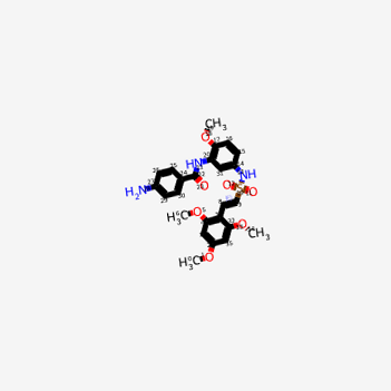 COc1cc(OC)c(/C=C/S(=O)(=O)Nc2ccc(OC)c(NC(=O)c3ccc(N)cc3)c2)c(OC)c1